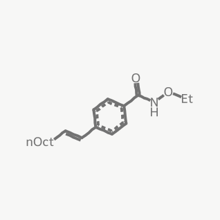 CCCCCCCCC=Cc1ccc(C(=O)NOCC)cc1